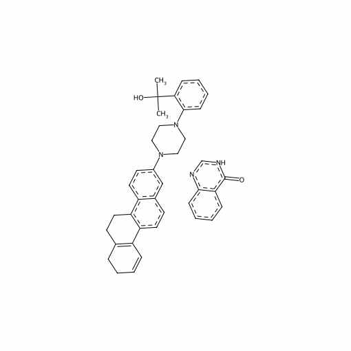 CC(C)(O)c1ccccc1N1CCN(c2ccc3c4c(ccc3c2)C2=C(CCC=C2)CC4)CC1.O=c1[nH]cnc2ccccc12